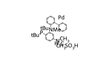 CN(C)c1ccc(P(C(C)(C)C)C(C)(C)C)cc1.CNc1ccccc1-c1ccccc1.CS(=O)(=O)O.[Pd]